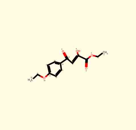 CCOC(=O)C(O)=CC(=O)c1ccc(OCC)cc1